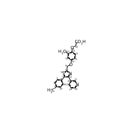 Cc1ccc(-c2sc(COc3ccc(OCC(=O)O)c(C)c3)nc2-c2cccnc2)cc1